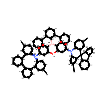 Cc1ccc2c(c1)C1(c3ccccc3-c3ccccc31)c1cc(C)ccc1N2c1ccc2c(c1)Oc1cc(-n3c4ccc(C)cc4c4ccccc4c4ccccc4c4cc(C)ccc43)ccc1B2c1c(-c2ccccc2)cccc1-c1ccccc1